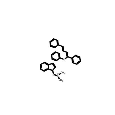 C(=Cc1ccccc1)C=C(Oc1ccccc1)c1ccccc1.C[SiH](C)[Ti][CH]1C=Cc2ccccc21